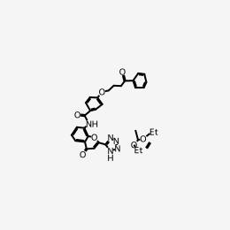 C=C.CCOC(C)OCC.O=C(CCCOc1ccc(C(=O)Nc2cccc3c(=O)cc(-c4nnn[nH]4)oc23)cc1)c1ccccc1